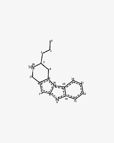 CCCC1Cc2c(sc3nc4ccccc4n23)CN1